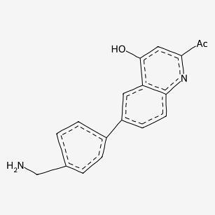 CC(=O)c1cc(O)c2cc(-c3ccc(CN)cc3)ccc2n1